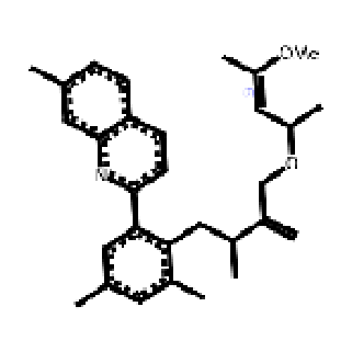 C=C(COC(C)/C=C(/C)OC)C(C)Cc1c(C)cc(C)cc1-c1ccc2ccc(C)cc2n1